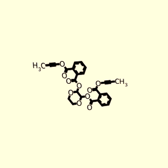 CC#COC(=O)c1ccccc1C(=O)OC1OCCOC1OC(=O)c1ccccc1C(=O)OC#CC